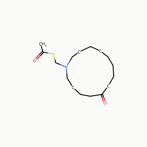 CC(=O)SCN1CCCCCCCCC(=O)CCCC1